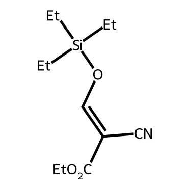 CCOC(=O)C(C#N)=CO[Si](CC)(CC)CC